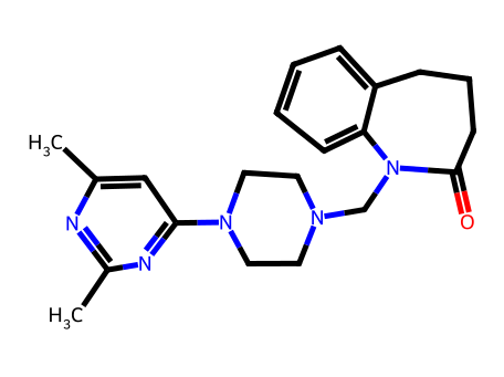 Cc1cc(N2CCN(CN3C(=O)CCCc4ccccc43)CC2)nc(C)n1